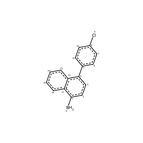 Bc1ccc(-c2ccc(Cl)cc2)c2ccccc12